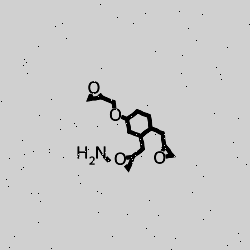 C1CC(CC2CO2)C(CC2CO2)CC1OCC1CO1.CN